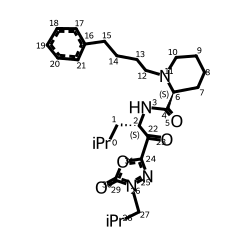 CC(C)C[C@H](NC(=O)[C@@H]1CCCCN1CCCCc1ccccc1)C(=O)c1nn(CC(C)C)c(=O)o1